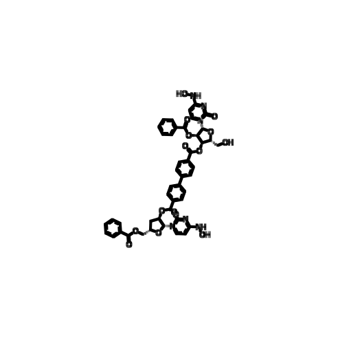 O=C(OC[C@@H]1C[C@@H](OC(=O)c2ccc(-c3ccc(C(=O)O[C@H]4[C@@H](OC(=O)c5ccccc5)[C@H](n5ccc(NO)nc5=O)O[C@@H]4CO)cc3)cc2)[C@H](n2ccc(NO)nc2=O)O1)c1ccccc1